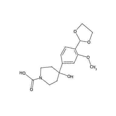 COc1cc(C2(O)CCN(C(=O)O)CC2)ccc1C1OCCO1